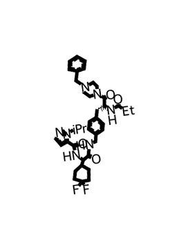 CCC(=O)N[C@H](Cc1ccc(CNC(=O)C(NC(=O)c2ccnn2C(C)C)C2CCC(F)(F)CC2)cc1)C(=O)N1CCN(Cc2ccccc2)CC1